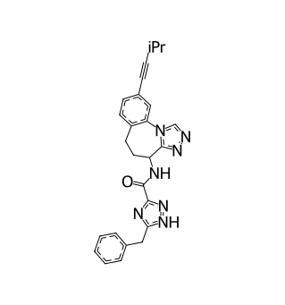 CC(C)C#Cc1ccc2c(c1)-n1cnnc1C(NC(=O)c1n[nH]c(Cc3ccccc3)n1)CC2